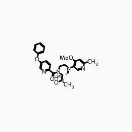 COc1cc(C)ncc1N1CCN(C(=O)c2ccc(Oc3ccccc3)cn2)[C@@H]([C@H](C)O)C1